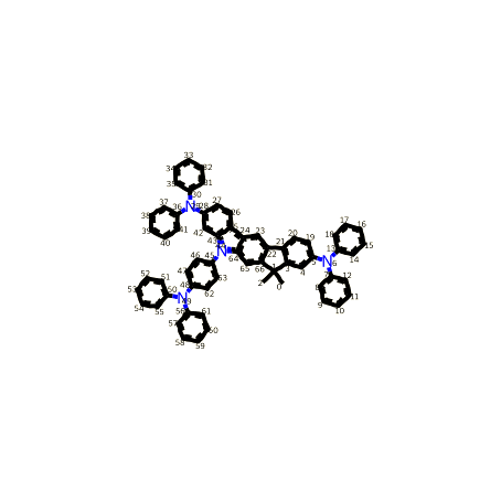 CC1(C)c2cc(N(c3ccccc3)c3ccccc3)ccc2-c2cc3c4ccc(N(c5ccccc5)c5ccccc5)cc4n(-c4ccc(N(c5ccccc5)c5ccccc5)cc4)c3cc21